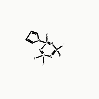 FP1(F)=NP(F)(F)=NP(F)(n2cccc2)=N1